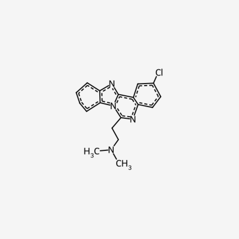 CN(C)CCc1nc2ccc(Cl)cc2c2nc3ccccc3n12